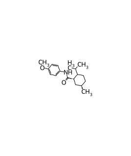 COc1ccc(NC(=O)[C@@H]2C[C@H](C)CCC2C(C)C)cc1